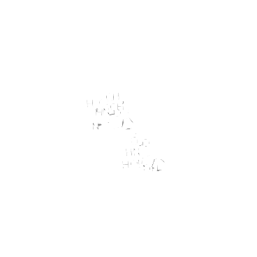 CC(C)(C)NC(=O)C(C#N)Cc1cccc(COC(=O)N[C@@H](Cc2ccccc2)B(O)O)c1